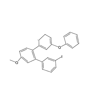 COc1ccc(C2=CC(Oc3ccccc3)=CC[CH]2)c(-c2cccc(I)c2)c1